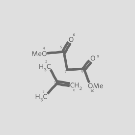 C=C(C)C.COC(=O)CC(=O)OC